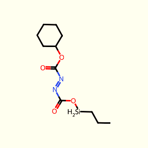 CCC[SiH2]OC(=O)N=NC(=O)OC1CCCCC1